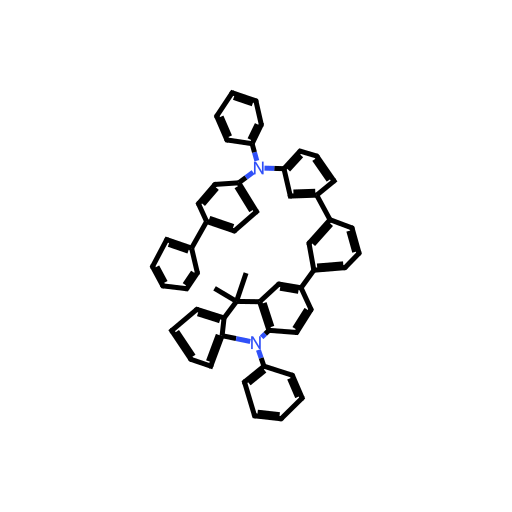 CC1(C)c2ccccc2N(c2ccccc2)c2ccc(-c3cccc(-c4cccc(N(c5ccccc5)c5ccc(-c6ccccc6)cc5)c4)c3)cc21